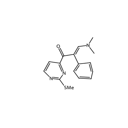 CSc1nccc(C(=O)C(=CN(C)C)c2ccccc2)n1